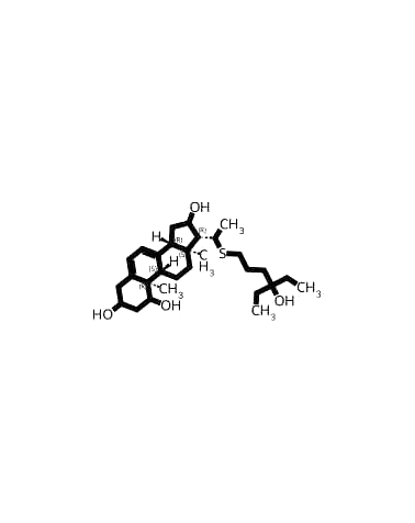 CCC(O)(CC)CCCSC(C)[C@H]1C(O)C[C@H]2C3=CC=C4CC(O)CC(O)[C@]4(C)[C@H]3CC[C@]12C